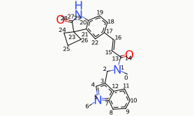 CN(Cc1cn(C)c2ccccc12)C(=O)C=Cc1ccc2c(c1)C1(CCC1)C(=O)N2